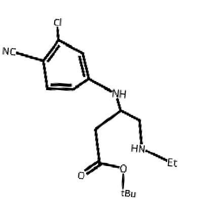 CCNCC(CC(=O)OC(C)(C)C)Nc1ccc(C#N)c(Cl)c1